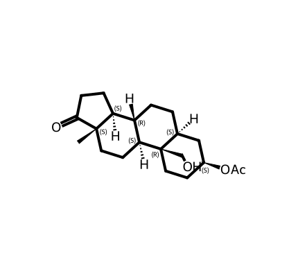 CC(=O)O[C@H]1CC[C@@]2(CO)[C@@H](CC[C@@H]3[C@@H]2CC[C@]2(C)C(=O)CC[C@@H]32)C1